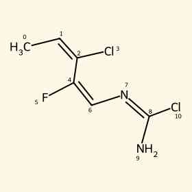 C\C=C(Cl)/C(F)=C\N=C(/N)Cl